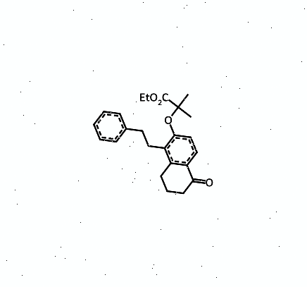 CCOC(=O)C(C)(C)Oc1ccc2c(c1CCc1ccccc1)CCCC2=O